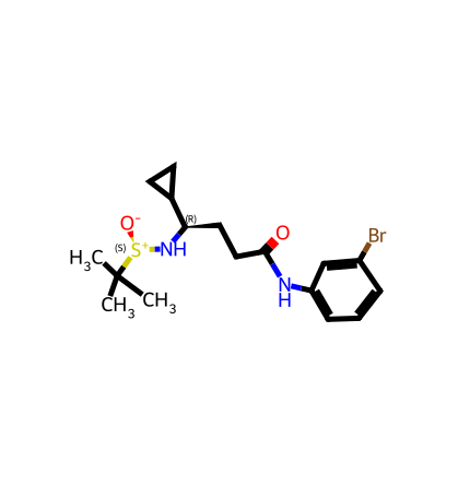 CC(C)(C)[S@@+]([O-])N[C@H](CCC(=O)Nc1cccc(Br)c1)C1CC1